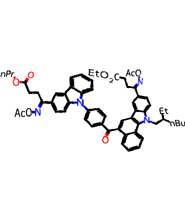 CCCCC(CC)Cn1c2ccc(/C(CCC(=O)OCC)=N/OC(C)=O)cc2c2cc(C(=O)c3ccc(-n4c5ccccc5c5cc(/C(CCC(=O)OCCC)=N/OC(C)=O)ccc54)cc3)c3ccccc3c21